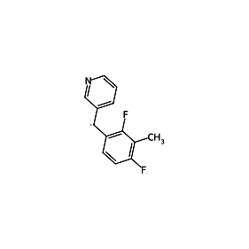 Cc1c(F)ccc([CH]c2cccnc2)c1F